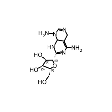 NC1=C2CN=CN(N)C2NC([C@@H]2O[C@H](CO)[C@@H](O)[C@H]2O)=N1